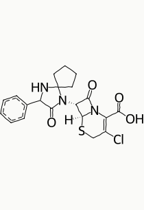 O=C(O)C1=C(Cl)CS[C@H]2[C@H](N3C(=O)C(c4ccccc4)NC34CCCC4)C(=O)N12